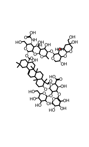 CC1O[C@@H](OC2C(O)[C@@H](NC(=O)O)C(CO)O[C@H]2OC(=O)[C@]23CCC(C)(C)CC2C2=CCC4C5(C)CC[C@H](O[C@@H]6OC(C(=O)O)[C@@H](O)C(OC7=C(O)C(O)[C@H](O)CO7)C6O[C@@H]6OC(CO)[C@H](O)C(O)C6O)C(C)(C=O)C5CCC4(C)C2(C)CC3O)C(CO)C(O)[C@H]1O[C@@H]1OC[C@@H](O)C(O[C@@H]2OCC(O)(CO)CC2O)C1O